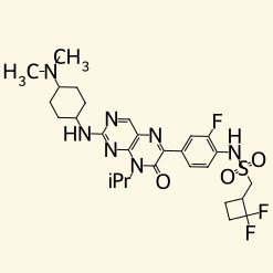 CC(C)n1c(=O)c(-c2ccc(NS(=O)(=O)CC3CCC3(F)F)c(F)c2)nc2cnc(NC3CCC(N(C)C)CC3)nc21